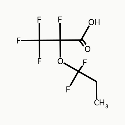 CCC(F)(F)OC(F)(C(=O)O)C(F)(F)F